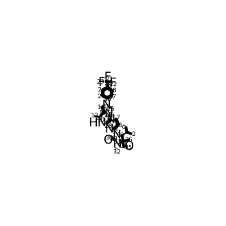 CC(C)[C@@H]1N(c2ccnc(N[C@@H](C)c3cn(-c4ccc(C(F)(F)F)cc4)cn3)n2)C(=O)N(C)C12COC2